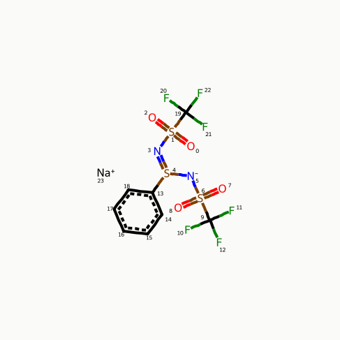 O=S(=O)(N=S([N-]S(=O)(=O)C(F)(F)F)c1ccccc1)C(F)(F)F.[Na+]